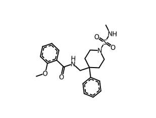 CNS(=O)(=O)N1CCC(CNC(=O)c2ccccc2OC)(c2ccccc2)CC1